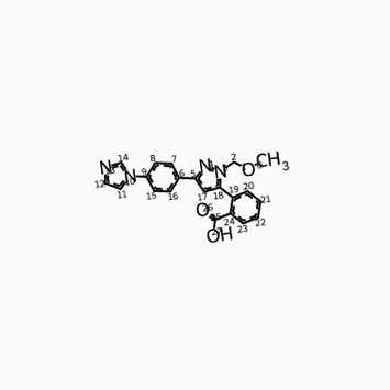 COCn1nc(-c2ccc(-n3ccnc3)cc2)cc1-c1ccccc1C(=O)O